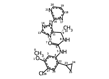 COc1cc(NC(=O)N[C@@H](C)c2ncnn2-c2ncccn2)c(C2CC2)cc1Cl